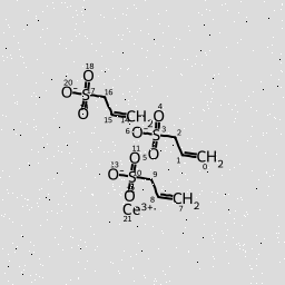 C=CCS(=O)(=O)[O-].C=CCS(=O)(=O)[O-].C=CCS(=O)(=O)[O-].[Ce+3]